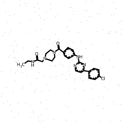 CCNC(=O)CN1CCN(C(=O)c2ccc(Nc3nccc(-c4ccc(Cl)cc4)n3)cc2)CC1